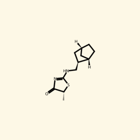 C[C@H]1SC(NC[C@H]2C[C@@H]3CC[C@H]2C3)=NC1=O